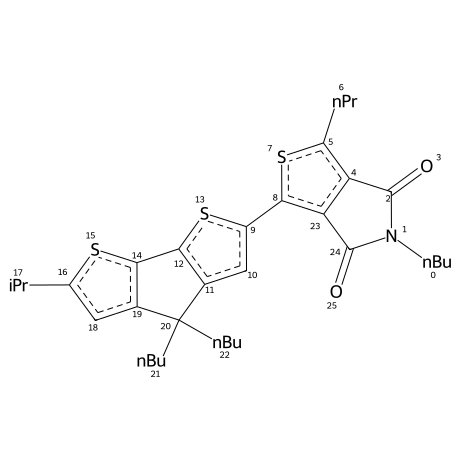 CCCCN1C(=O)c2c(CCC)sc(-c3cc4c(s3)-c3sc(C(C)C)cc3C4(CCCC)CCCC)c2C1=O